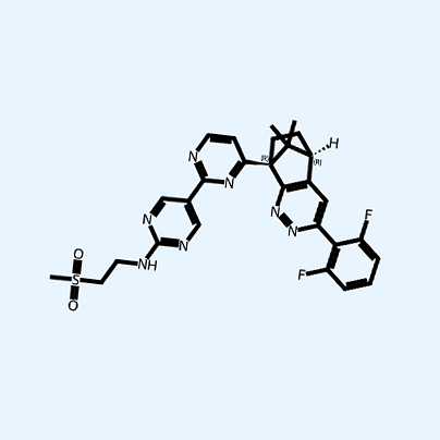 CC1(C)[C@H]2CC[C@@]1(c1ccnc(-c3cnc(NCCS(C)(=O)=O)nc3)n1)c1nnc(-c3c(F)cccc3F)cc12